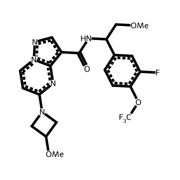 COCC(NC(=O)c1cnn2ccc(N3CC(OC)C3)nc12)c1ccc(OC(F)(F)F)c(F)c1